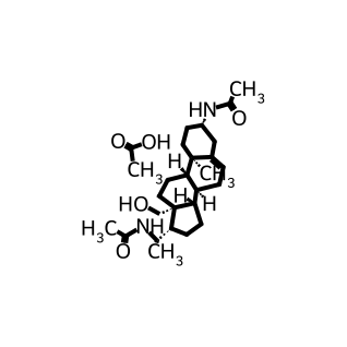 CC(=O)NC(C)[C@H]1CC[C@H]2[C@@H]3CC=C4C[C@@H](NC(C)=O)CC[C@]4(C)[C@H]3CC[C@]12CO.CC(=O)O